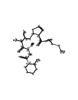 CC(C)[C@@H](CN1CCC[C@H]1C(=O)NCCC(=O)O)N(C)C(=O)[C@@H](NC(=O)[C@H]1CCCCN1C)C(C)(C)C